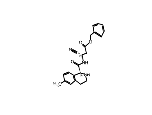 Cc1ccc2c(c1)CCN[C@@H]2C(=O)N[C@H](C#N)CC(=O)OCc1ccccc1